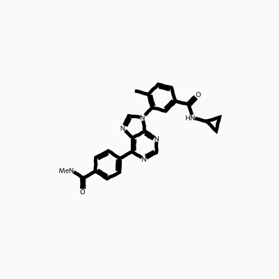 CNC(=O)c1ccc(-c2ncnc3c2ncn3-c2cc(C(=O)NC3CC3)ccc2C)cc1